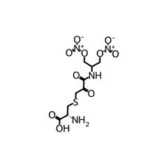 N[C@@H](CSCC(=O)C(=O)NC(CO[N+](=O)[O-])CO[N+](=O)[O-])C(=O)O